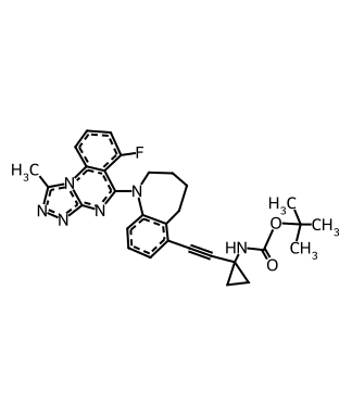 Cc1nnc2nc(N3CCCCc4c(C#CC5(NC(=O)OC(C)(C)C)CC5)cccc43)c3c(F)cccc3n12